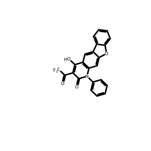 O=C(c1c(O)c2cc3c(cc2n(-c2ccccc2)c1=O)oc1ccccc13)C(F)(F)F